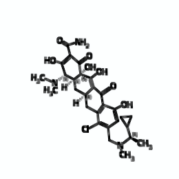 C[C@H](C1CC1)N(C)Cc1cc(O)c2c(c1Cl)C[C@H]1C[C@H]3[C@H](N(C)C)C(O)=C(C(N)=O)C(=O)[C@@]3(O)C(O)=C1C2=O